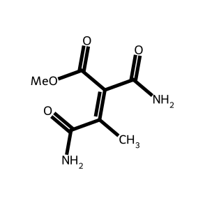 COC(=O)C(C(N)=O)=C(C)C(N)=O